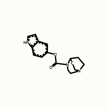 O=C(Oc1ccc2[nH]ccc2c1)N1CCN2CCC1CC2